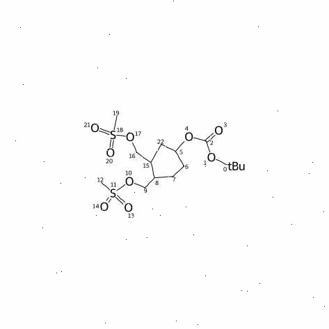 CC(C)(C)OC(=O)OC1CCC(COS(C)(=O)=O)C(COS(C)(=O)=O)C1